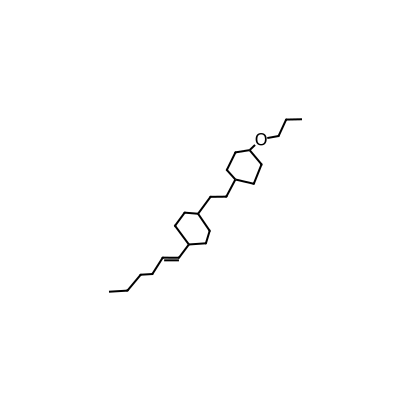 CCCCC=CC1CCC(CCC2CCC(OCCC)CC2)CC1